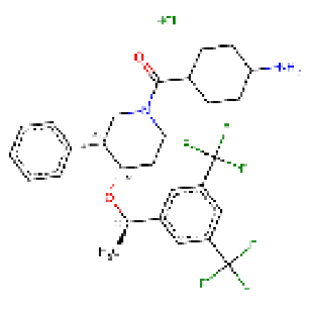 C[C@@H](O[C@H]1CCN(C(=O)C2CCC(N)CC2)C[C@H]1c1ccccc1)c1cc(C(F)(F)F)cc(C(F)(F)F)c1.Cl